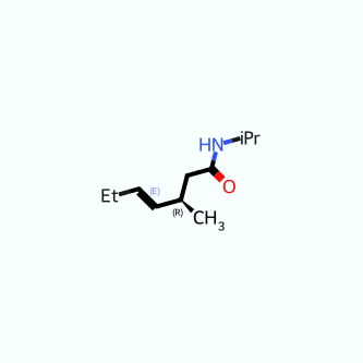 CC/C=C/[C@H](C)CC(=O)NC(C)C